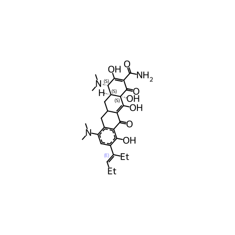 CC/C=C(\CC)c1cc(N(C)C)c2c(c1O)C(=O)C1=C(O)[C@]3(O)C(=O)C(C(N)=O)=C(O)[C@@H](N(C)C)[C@@H]3CC1C2